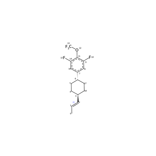 C/C=C/[C@H]1CC[C@H](c2cc(F)c(OC(F)(F)F)c(F)c2)CC1